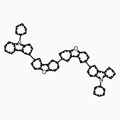 c1ccc(-n2c3ccccc3c3cc(-c4ccc5oc6ccc(-c7ccc8oc9ccc(-c%10ccc%11c(c%10)c%10ccccc%10n%11-c%10ccccc%10)cc9c8c7)cc6c5c4)ccc32)cc1